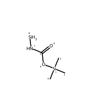 C[Si](C)(C)OC(=O)N[SiH3]